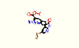 O=C(O)C1=CC2=C(CC3(C2)C(=O)N=C2N=CC(Br)=CC23)NC1